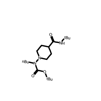 CCCCN(C(=O)OC(C)(C)C)N1CCC(C(=O)NC(C)(C)C)CC1